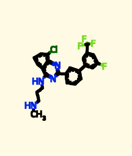 CNCCCNc1nc(-c2cccc(-c3cc(F)cc(C(F)(F)F)c3)c2)nc2c(Cl)cccc12